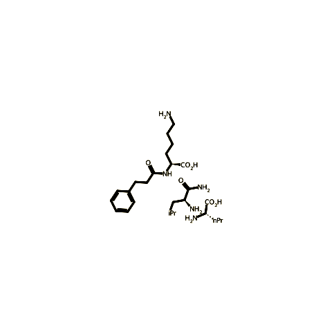 CC(C)C[C@H](N)C(N)=O.CCC[C@H](N)C(=O)O.NCCCC[C@H](NC(=O)CCc1ccccc1)C(=O)O